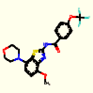 COc1ccc(N2CCOCC2)c2sc(NC(=O)c3ccc(OC(F)(F)F)cc3)nc12